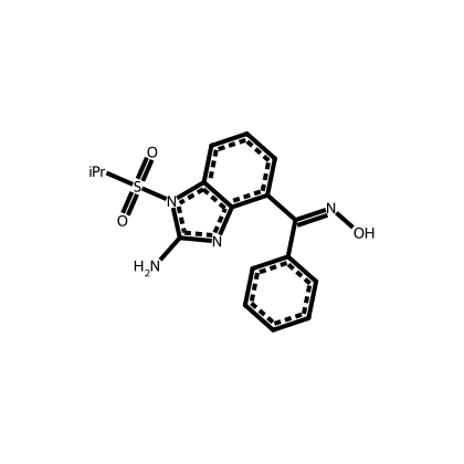 CC(C)S(=O)(=O)n1c(N)nc2c(/C(=N/O)c3ccccc3)cccc21